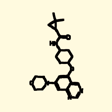 CC1(C)CC1C(=O)NC1CCC(Oc2cc(N3CCOCC3)cc3ncncc23)CC1